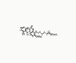 CCCCCN(C)CCCCCOc1c(OC)ccc2c(Nc3c(Cl)cncc3Cl)cc(=O)oc12